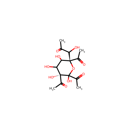 CC(=O)C(O)[C@@]1(C(C)=O)OC(O)(C(C)=O)[C@@](O)(C(C)=O)[C](O)[C@H]1O